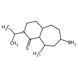 BC1CCC2CCN(C(C)C)C(=S)C2C(C)C1